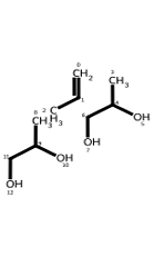 C=CC.CC(O)CO.CC(O)CO